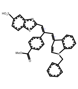 COC(=O)c1ccc(C(=C\c2nc3cc(S(=O)(=O)O)ccc3s2)/C=C2\C=CN(Cc3ccccc3)c3ccccc32)cc1